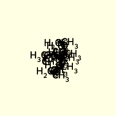 C=CC(C)(C)OCCC(C)(C)OCC(CC)(COC(C)(C)CCOC(C)(C)C=C)COC(C)(C)CCOC(C)(C)C=C